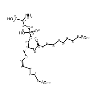 CCCCCCCCCCCCCC/C=C\OC[C@H](COP(=O)(O)OC[C@H](N)C(=O)O)OC(=O)CCCCCCCCCCCCCCCCCC